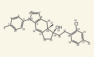 Cc1ccc(-n2ncc3c2C=C2CC[C@@](O)(CCc4ccc(C)cc4Cl)[C@@]2(C)C3)cc1